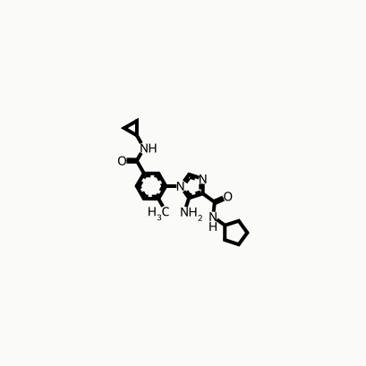 Cc1ccc(C(=O)NC2CC2)cc1-n1cnc(C(=O)NC2CCCC2)c1N